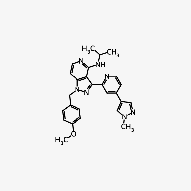 COc1ccc(Cn2nc(-c3cc(-c4cnn(C)c4)ccn3)c3c(NC(C)C)nccc32)cc1